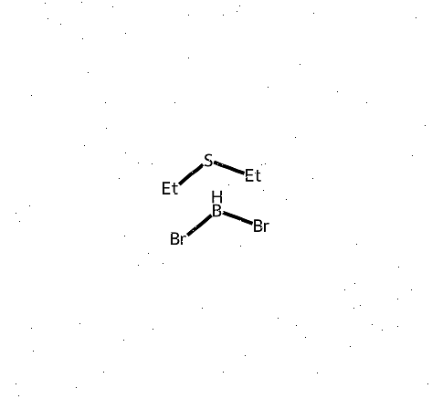 BrBBr.CCSCC